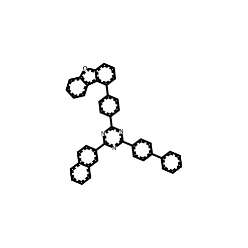 c1ccc(-c2ccc(-c3nc(-c4ccc(-c5cccc6oc7ccccc7c56)cc4)nc(-c4ccc5ccccc5c4)n3)cc2)cc1